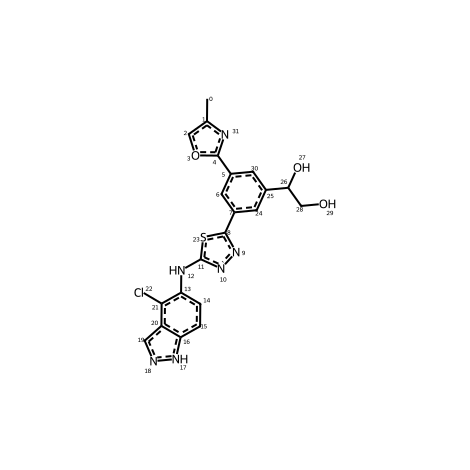 Cc1coc(-c2cc(-c3nnc(Nc4ccc5[nH]ncc5c4Cl)s3)cc(C(O)CO)c2)n1